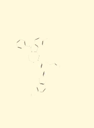 C=CCC/C(=C\C=C1/Cc2cc(C)ccc2O1)C1CCCC2C(C1)c1cc(C)ccc1N2c1ccccc1